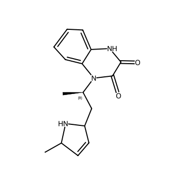 CC1C=CC(C[C@@H](C)n2c(=O)c(=O)[nH]c3ccccc32)N1